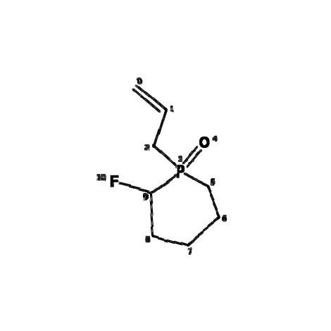 C=CCP1(=O)CCCCC1F